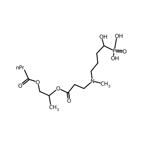 CCCC(=O)OCC(C)OC(=O)CCN(C)CCCC(O)P(=O)(O)O